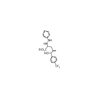 C=C(CC(NNc1ccccc1)C(=O)OCC)C(O)c1ccc(C(F)(F)F)cc1